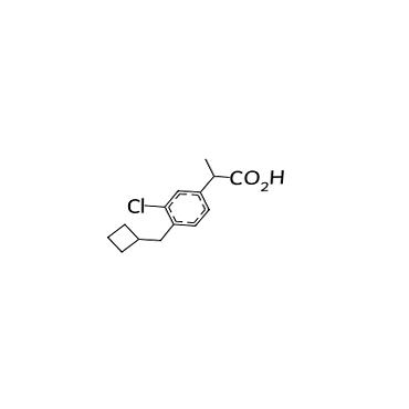 CC(C(=O)O)c1ccc(CC2CCC2)c(Cl)c1